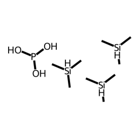 C[SiH](C)C.C[SiH](C)C.C[SiH](C)C.OP(O)O